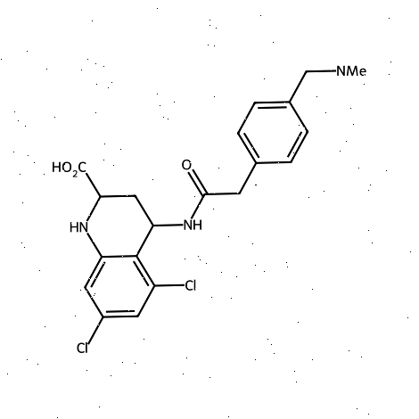 CNCc1ccc(CC(=O)NC2CC(C(=O)O)Nc3cc(Cl)cc(Cl)c32)cc1